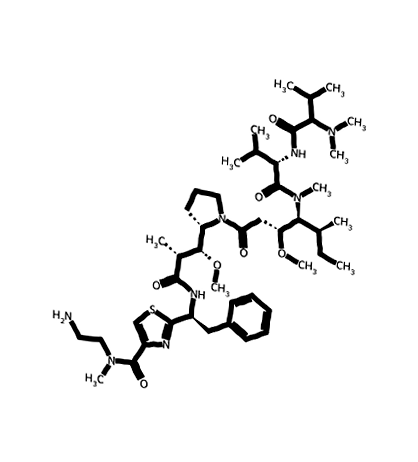 CC[C@H](C)[C@@H]([C@@H](CC(=O)N1CCC[C@H]1[C@H](OC)[C@@H](C)C(=O)N[C@@H](Cc1ccccc1)c1nc(C(=O)N(C)CCN)cs1)OC)N(C)C(=O)[C@@H](NC(=O)C(C(C)C)N(C)C)C(C)C